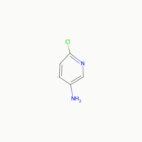 Nc1[c]cc(Cl)nc1